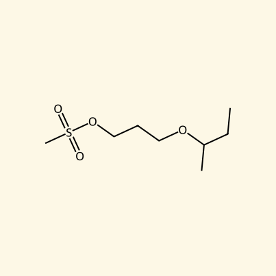 CCC(C)OCCCOS(C)(=O)=O